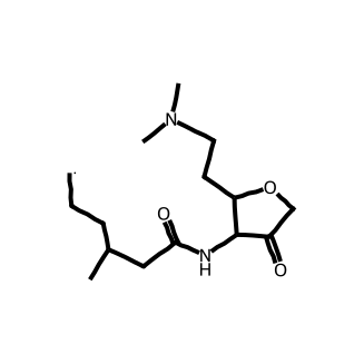 [CH2]CCC(C)CC(=O)NC1C(=O)COC1CCN(C)C